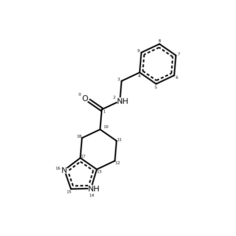 O=C(NCc1ccccc1)C1CCc2[nH]cnc2C1